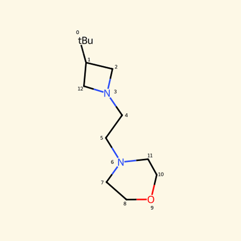 CC(C)(C)C1CN(CCN2CCOCC2)C1